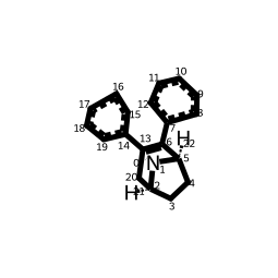 CN1[C@H]2CC[C@@H]1C(c1ccccc1)=C(c1ccccc1)C2